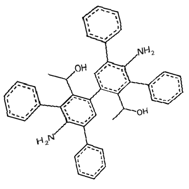 CC(O)c1c(-c2cc(-c3ccccc3)c(N)c(-c3ccccc3)c2C(C)O)cc(-c2ccccc2)c(N)c1-c1ccccc1